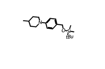 CC1CCN(c2ccc(CO[Si](C)(C)C(C)(C)C)cc2)CC1